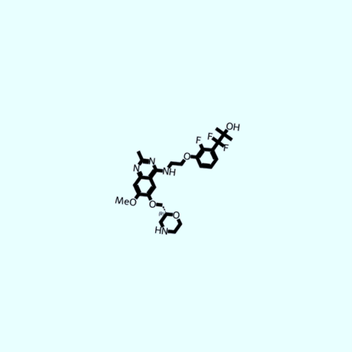 COc1cc2nc(C)nc(NCCOc3cccc(C(F)(F)C(C)(C)O)c3F)c2cc1OC[C@H]1CNCCO1